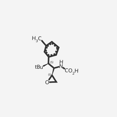 Cc1cccc([C@@H](C(NC(=O)O)[C@H]2CO2)C(C)(C)C)c1